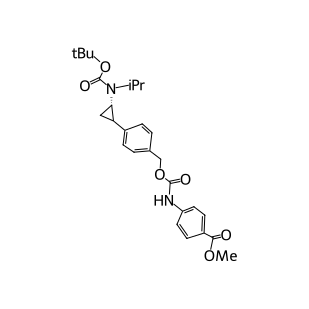 COC(=O)c1ccc(NC(=O)OCc2ccc(C3C[C@@H]3N(C(=O)OC(C)(C)C)C(C)C)cc2)cc1